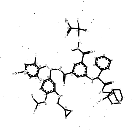 CN(C)C(=O)c1cc(NC(C(=O)O[C@H]2CN3CCC2CC3)c2ccccc2)cc(C(=O)O[C@@H](Cc2c(Cl)c[n+]([O-])cc2Cl)c2ccc(OC(F)F)c(OCC3CC3)c2)c1.O=C(O)C(F)(F)F